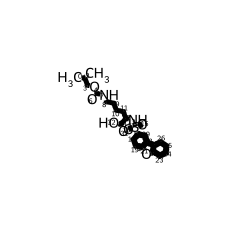 CC(C)COC(=O)NCCCCC(NS(=O)(=O)c1ccc2oc3ccccc3c2c1)C(=O)O